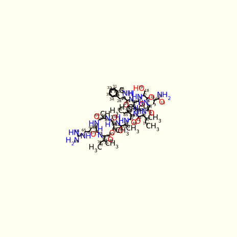 CC[C@@H](C)[C@@H](NC(=O)[C@@H](CCC(N)=O)NC(=O)C(CO)NC(=O)[C@@H](NC(=O)[C@@H](Cc1ccccc1)NC)[C@@H](C)CC)C(=O)N[C@H](C(=O)N[C@@H](C)C(=O)N[C@H]1C(=O)N[C@@H](C)C(=O)N[C@@H](CCCNC(=N)N)C(=O)N[C@@H]([C@@H](C)CC)C(=O)O[C@H]1C)[C@@H](C)CC